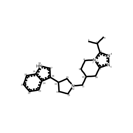 CC(C)c1nnc2n1CCC(CN1CCC(c3c[nH]c4ccccc34)C1)C2